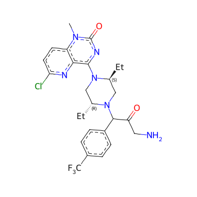 CC[C@H]1CN(C(C(=O)CN)c2ccc(C(F)(F)F)cc2)[C@H](CC)CN1c1nc(=O)n(C)c2ccc(Cl)nc12